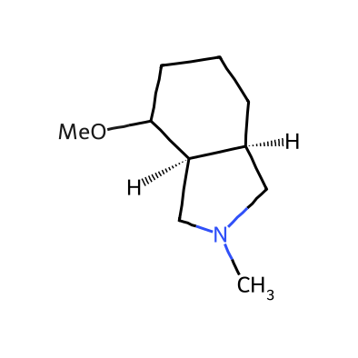 COC1CCC[C@H]2CN(C)C[C@@H]12